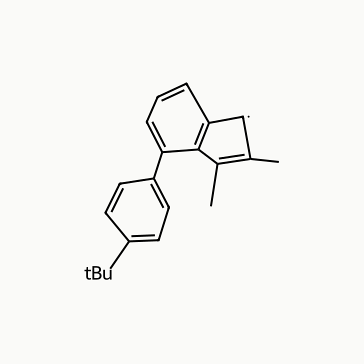 CC1=C(C)c2c(cccc2-c2ccc(C(C)(C)C)cc2)[CH]1